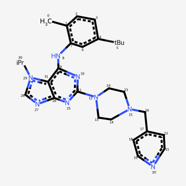 Cc1ccc(C(C)(C)C)cc1Nc1nc(N2CCN(Cc3ccncc3)CC2)nc2ncn(C(C)C)c12